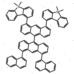 C[Si]1(C)c2ccccc2-c2c(-c3cccc4c(-c5c6cccc(-c7cccc8ccccc78)c6cc6c(-c7cccc8ccccc78)cccc56)c5cccc(-c6cccc7c6-c6ccccc6[Si]7(C)C)c5cc34)cccc21